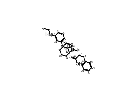 CCNc1cccc([C@]23CCCC([C@@H]2C)N(C[C@H](Cc2ccccc2)C(=O)O)CC3)c1